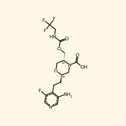 Nc1cncc(F)c1CC[C@@H]1CN(C(=O)O)[C@@H](COC(=O)NCC(F)(F)F)CO1